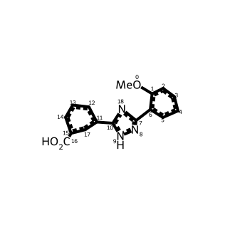 COc1ccccc1-c1n[nH]c(-c2cccc(C(=O)O)c2)n1